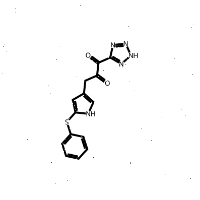 O=C(Cc1c[nH]c(Sc2ccccc2)c1)C(=O)c1nn[nH]n1